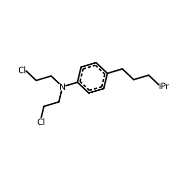 CC(C)CCCc1ccc(N(CCCl)CCCl)cc1